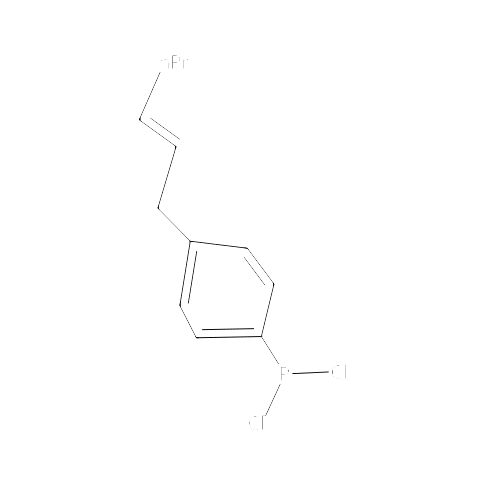 CCC/C=C/Cc1ccc(P(Cl)Cl)cc1